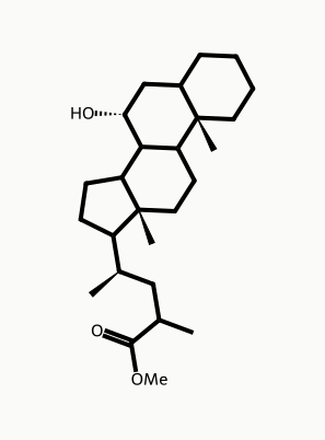 COC(=O)C(C)C[C@@H](C)C1CCC2C3C(CC[C@@]21C)[C@@]1(C)CCCCC1C[C@H]3O